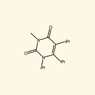 CC(C)c1c(C(C)C)n(C(C)C)c(=O)n(C)c1=O